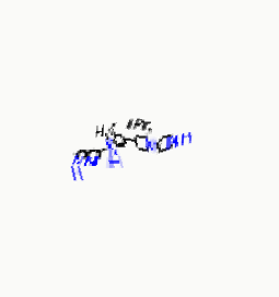 Cc1cc(C2CCN(C3CCNCC3)[C@H](CC(C)C)C2)cc2[nH]c(-c3cnc4[nH]ccc4c3)nc12